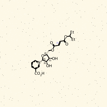 CCC(CC)OC(=O)/C=C/C(=O)OC[C@H]1O[C@@H]([n+]2cccc(C(=O)O)c2)[C@H](O)[C@@H]1O